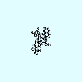 CCNC(=O)NN(C)CC(=O)NC(CC(=O)O)C(=O)N(Cc1cccc2ccccc12)C(C)C(OCC)OCC